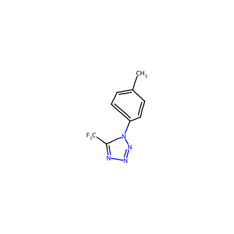 Cc1ccc(-n2nnnc2C(F)(F)F)cc1